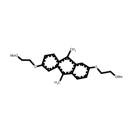 COCCOc1ccc2c(C)c3cc(OCCOC)ccc3c(C)c2c1